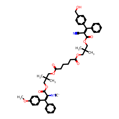 [C-]#[N+]C(C(=O)OCC(C)(C)COC(=O)CCCCC(=O)OCC(C)(C)COC(=O)C(C#N)=C(c1ccccc1)c1ccc(CO)cc1)=C(c1ccccc1)c1ccc(OC)cc1